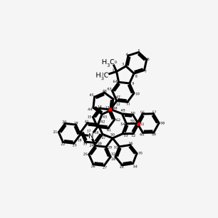 CC1(C)c2ccccc2-c2ccc(-c3ccc(N(c4ccccc4)c4ccccc4C4(c5ccccc5)c5ccccc5-c5ccccc5-c5cccc4c5-c4ccccc4)cc3)cc21